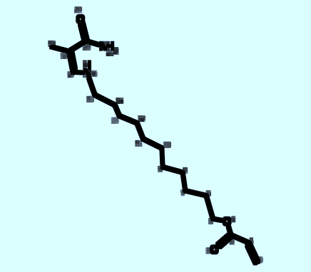 C=CC(=O)OCCCCCCCCCCCN/C=C(/C)C(N)=O